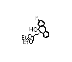 CCC1(CC)OC[C@H](CC[C@@H]2c3ccccc3Cc3ccc(F)cc3[C@@H]2O)O1